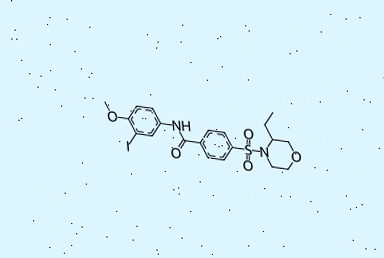 CCC1COCCN1S(=O)(=O)c1ccc(C(=O)Nc2ccc(OC)c(I)c2)cc1